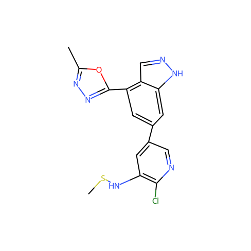 CSNc1cc(-c2cc(-c3nnc(C)o3)c3cn[nH]c3c2)cnc1Cl